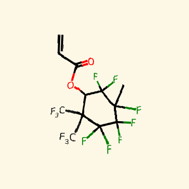 C=CC(=O)OC1C(F)(F)C(C)(F)C(F)(F)C(F)(F)C1(C(F)(F)F)C(F)(F)F